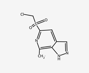 [CH2]c1nc(S(=O)(=O)CCl)cc2cn[nH]c12